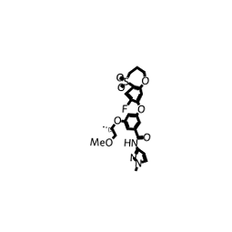 COC[C@H](C)Oc1cc(Oc2cc3c(cc2F)S(=O)(=O)CCCO3)cc(C(=O)Nc2ccn(C)n2)c1